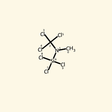 CN(C(Cl)(Cl)Cl)[Si](Cl)(Cl)Cl